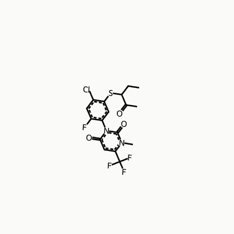 CCC(Sc1cc(-n2c(=O)cc(C(F)(F)F)n(C)c2=O)c(F)cc1Cl)C(C)=O